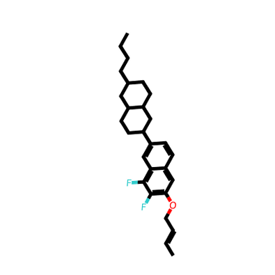 CC=CCOc1cc2ccc(C3CCC4CC(CCCC)CCC4C3)cc2c(F)c1F